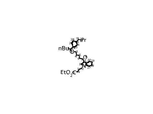 CCCCC(OCCCCC(=O)c1cn(CCCC(=O)OCC)c2ccccc12)c1ccc(CC(C)C)cc1